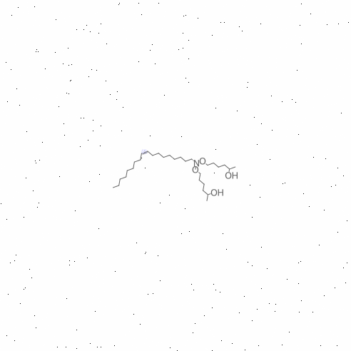 CCCCCCCC/C=C\CCCCCCCCN(OCCCCC(C)O)OCCCCC(C)O